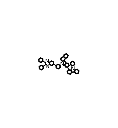 c1ccc(-c2nc3ccc(-c4cccc(-n5c6cc(-c7cccc8c9ccccc9n(-c9ccccc9)c78)ccc6c6c7ccccc7ccc65)c4)cc3nc2-c2ccccc2)cc1